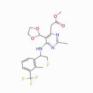 COC(=O)Cc1nc(C)nc(NC(CF)c2cccc(C(F)(F)F)c2C)c1C1OCCO1